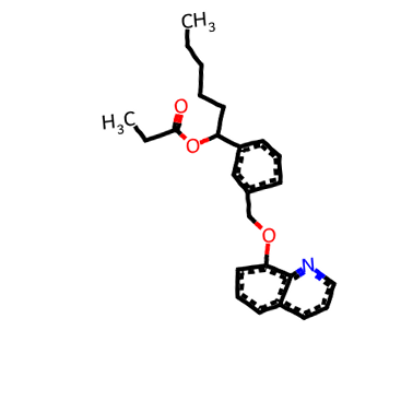 CCCCCC(OC(=O)CC)c1cccc(COc2cccc3cccnc23)c1